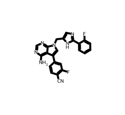 N#Cc1ccc(-c2cn(Cc3cnc(-c4ccccc4F)[nH]3)c3ncnc(N)c23)cc1F